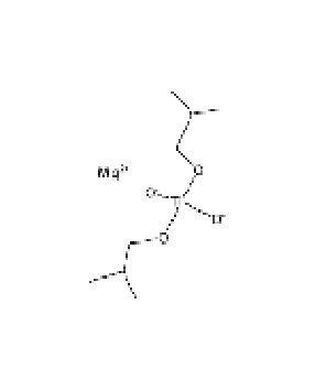 CC(C)C[O][Ti]([O-])([O-])[O]CC(C)C.[Mg+2]